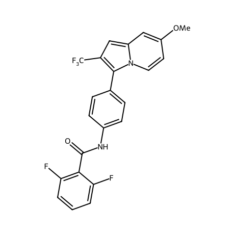 COc1ccn2c(-c3ccc(NC(=O)c4c(F)cccc4F)cc3)c(C(F)(F)F)cc2c1